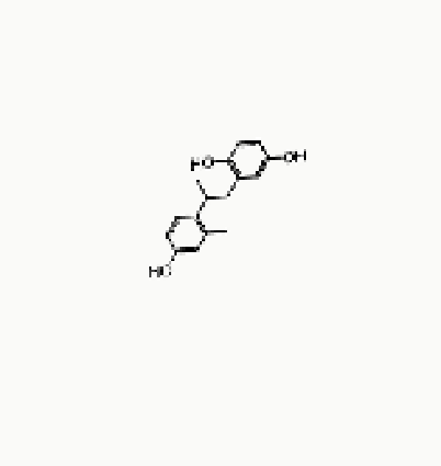 Cc1cc(O)ccc1C(C)Cc1cc(O)ccc1O